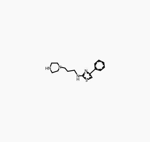 c1ccc(-c2csc(NCCCN3CCNCC3)n2)cc1